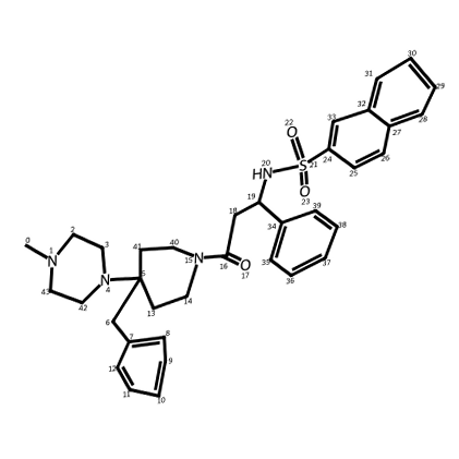 CN1CCN(C2(Cc3ccccc3)CCN(C(=O)CC(NS(=O)(=O)c3ccc4ccccc4c3)c3ccccc3)CC2)CC1